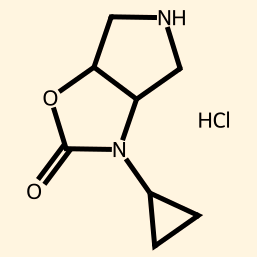 Cl.O=C1OC2CNCC2N1C1CC1